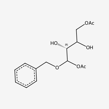 CC(=O)OCC(O)[C@@H](O)C(OCc1ccccc1)OC(C)=O